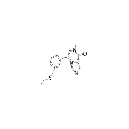 CCSc1cccc(-c2cn(C)c(=O)c3cncn23)c1